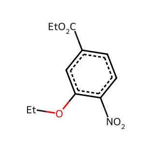 CCOC(=O)c1ccc([N+](=O)[O-])c(OCC)c1